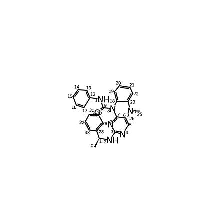 C[C@H](Nc1nccc(N(C(=O)Nc2ccccc2)c2ccccc2N(C)C)n1)c1ccccc1